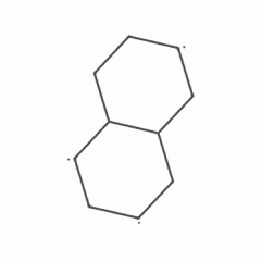 [CH]1C[CH]C2CC[CH]CC2C1